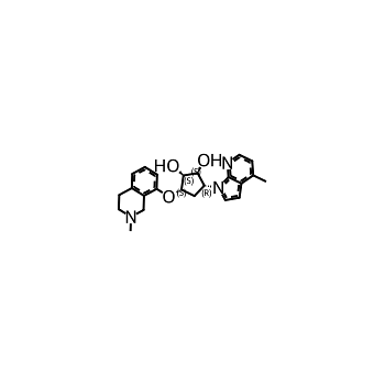 Cc1ccnc2c1ccn2[C@@H]1C[C@H](Oc2cccc3c2CN(C)CC3)[C@@H](O)[C@H]1O